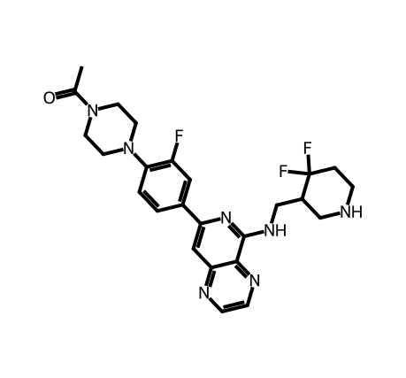 CC(=O)N1CCN(c2ccc(-c3cc4nccnc4c(NCC4CNCCC4(F)F)n3)cc2F)CC1